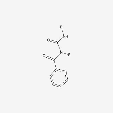 O=C(NF)N(F)C(=O)c1ccccc1